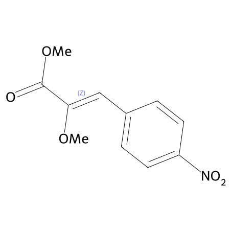 COC(=O)/C(=C/c1ccc([N+](=O)[O-])cc1)OC